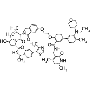 CCN(c1cc(-c2ccc(OCCOc3ccc4c(c3)C(=O)N(C(C(=O)N3C[C@H](O)C[C@H]3C(=O)NC(C)c3ccc(-c5scnc5C)cc3)C(C)C)C4)c(C(=O)NCc3c(C)cc(C)[nH]c3=O)c2)ccc1C)C1CCOCC1